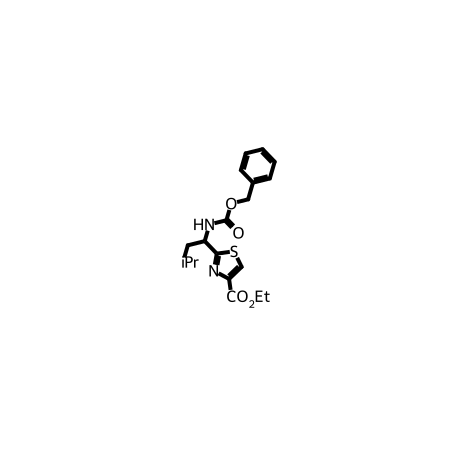 CCOC(=O)c1csc(C(CC(C)C)NC(=O)OCc2ccccc2)n1